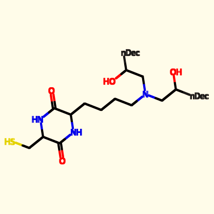 CCCCCCCCCCC(O)CN(CCCCC1NC(=O)C(CS)NC1=O)CC(O)CCCCCCCCCC